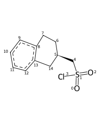 O=S(=O)(Cl)C[C@@H]1CCc2ccccc2C1